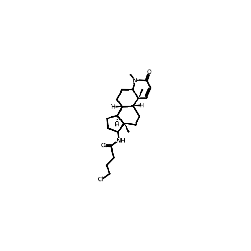 CN1C(=O)C=C[C@@]2(C)C1CC[C@@H]1[C@H]2CC[C@]2(C)C(NC(=O)CCCCl)CC[C@@H]12